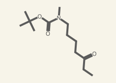 CCC(=O)CCCCN(C)C(=O)OC(C)(C)C